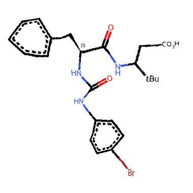 CC(C)(C)C(CC(=O)O)NC(=O)[C@H](Cc1ccccc1)NC(=O)Nc1ccc(Br)cc1